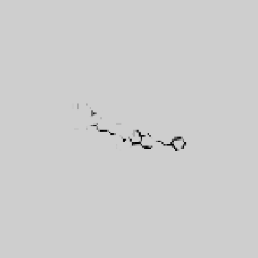 CC(C)(CCCNC(=O)c1ncc2c(=O)n(CCc3ccccc3)ccc2c1O)OC(N)=O